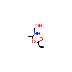 C=CC(=O)OC(C)NCO